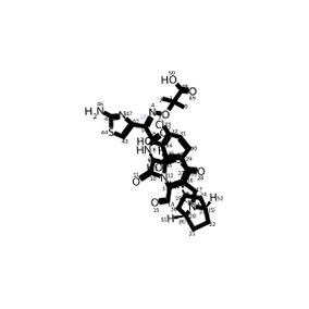 CC(C)(O/N=C(\C(=O)N[C@@H]1C(=O)N2C(C=O)=C(C[N@+]3(C)[C@@H]4CC[C@H]3C[C@@H](NC(=O)c3ccc(Cl)c(O)c3O)C4)CS[C@H]12)c1csc(N)n1)C(=O)O